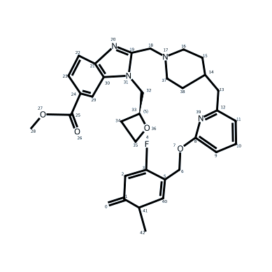 C=C1C=C(F)C(COc2cccc(CC3CCN(Cc4nc5ccc(C(=O)OC)cc5n4C[C@@H]4CCO4)CC3)n2)=CC1C